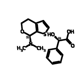 CN(C)[C@H]1OCCc2ccsc21.O=C(O)[C@H](O)c1ccccc1